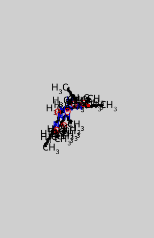 CCCCCCCCC(CN(CCCNC(=O)CN(C)CC(=O)NCCCN(CC(CCCCCCCC)O[Si](C)(C)C(C)(C)C)CC(CCCCCCCC)O[Si](C)(C)C(C)(C)C)CC(CCCCCCCC)O[Si](C)(C)C(C)(C)C)O[Si](C)(C)C(C)(C)C